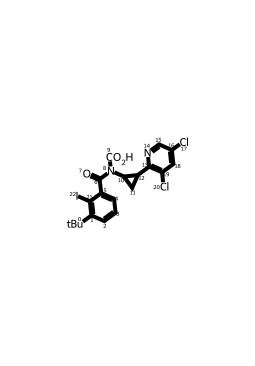 CC(C)(C)c1cccc(C(=O)N(C(=O)O)C2CC2c2ncc(Cl)cc2Cl)c1I